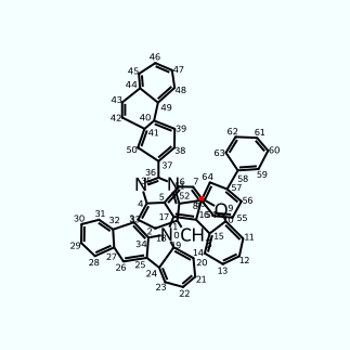 CC1C/C=C(c2ccc3oc4ccccc4c3c2-n2c3ccccc3c3cc4ccccc4cc32)/N=C(c2ccc3c(ccc4ccccc43)c2)\N=C/1c1cccc(-c2ccccc2)c1